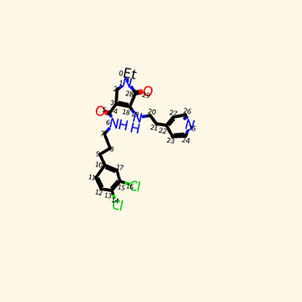 CCN1CC(C(=O)NCCCc2ccc(Cl)c(Cl)c2)=C(NCCc2ccncc2)C1=O